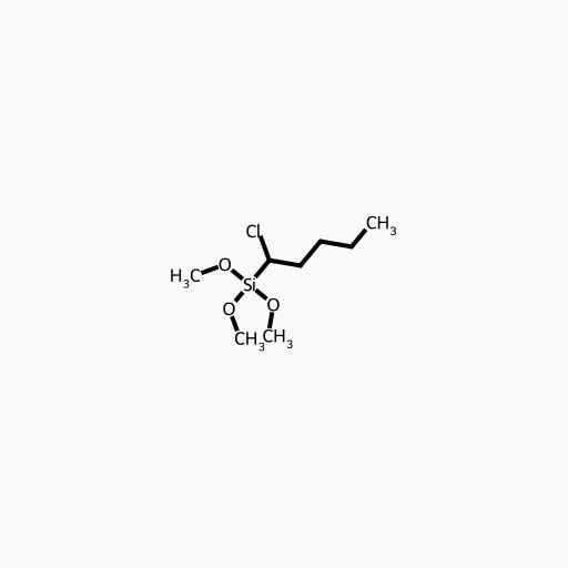 CCCCC(Cl)[Si](OC)(OC)OC